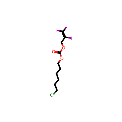 O=C(OCCCCCCCl)OCC(I)=C(I)I